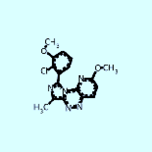 COc1ccc2nnc3c(C)nc(-c4cccc(OC)c4Cl)n3c2n1